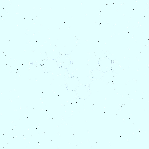 Cc1nc(-c2ccc3c(c2)N(c2nc4c(s2)C(=O)NC(C)(C)C4)CCO3)cc(C(C)C(=O)O)n1